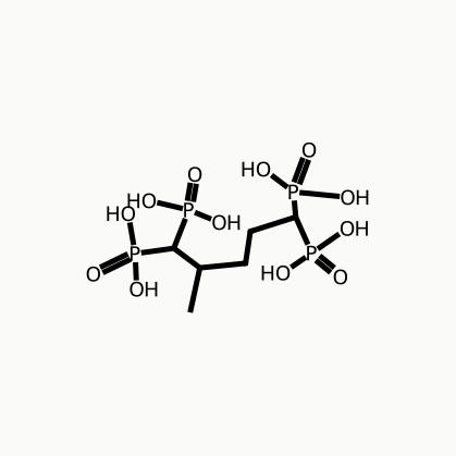 CC(CCC(P(=O)(O)O)P(=O)(O)O)C(P(=O)(O)O)P(=O)(O)O